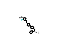 CCCc1ccc(CCc2ccc(C3CCC(C[C@@H](C)c4ccccc4)CC3)cc2)cc1F